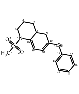 CS(=O)(=O)N1CCCC2CC([Se]c3ccccc3)=CC=C21